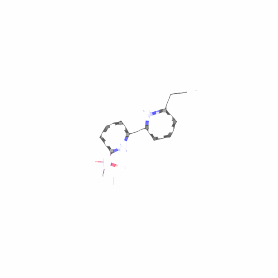 CC(C)Cc1cccc(-c2cccc(P(C)(=O)O)n2)n1